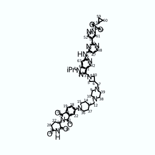 CC(C)n1nc(N2CC(CN3CCN(CC4CCN(c5ccc6c(c5)C(=O)N(C5CCC(=O)NC5=O)C6=O)CC4)CC3)C2)c2cnc(Nc3ccnc(-c4cnn(S(=O)(=O)C5CC5)c4)n3)cc21